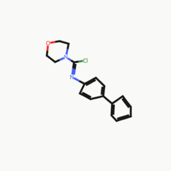 ClC(=Nc1ccc(-c2ccccc2)cc1)N1CCOCC1